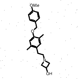 COc1ccc(COc2cc(C)c(CCN3CC(O)C3)cc2C)cc1